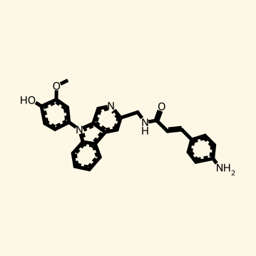 COc1cc(-n2c3ccccc3c3cc(CNC(=O)/C=C/c4ccc(N)cc4)ncc32)ccc1O